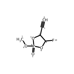 C#CC1OP(=O)(OC)OC1F